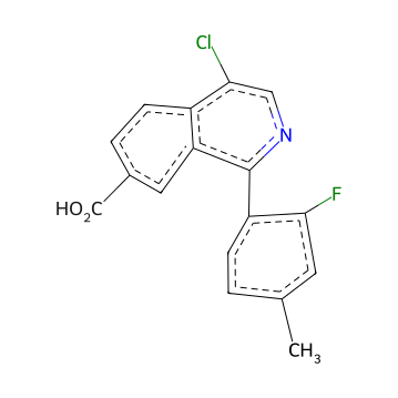 Cc1ccc(-c2ncc(Cl)c3ccc(C(=O)O)cc23)c(F)c1